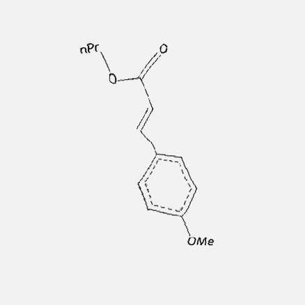 CCCOC(=O)C=Cc1ccc(OC)cc1